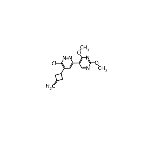 C=C1CC(c2cc(-c3cnc(OC)nc3OC)nnc2Cl)C1